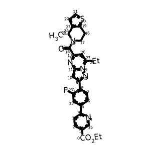 CCOC(=O)c1ccc(-c2ccc(-c3cc4nc(C(=O)N5CCc6sccc6[C@H]5C)cc(CC)n4n3)c(F)c2)nc1